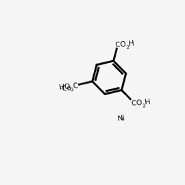 O=C(O)c1cc(C(=O)O)cc(C(=O)O)c1.[Co].[Ni]